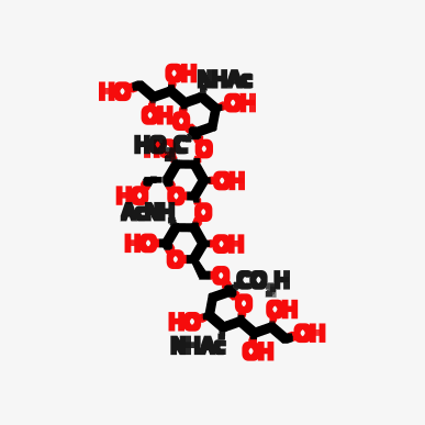 CC(=O)N[C@H]1[C@H]([C@H](O)[C@H](O)CO)O[C@@](OC[C@H]2OC(O)[C@H](NC(C)=O)[C@@H](O[C@@H]3O[C@H](CO)[C@H](O)[C@H](O[C@]4(C(=O)O)C[C@H](O)[C@@H](NC(C)=O)[C@H]([C@H](O)[C@H](O)CO)O4)[C@H]3O)[C@H]2O)(C(=O)O)C[C@@H]1O